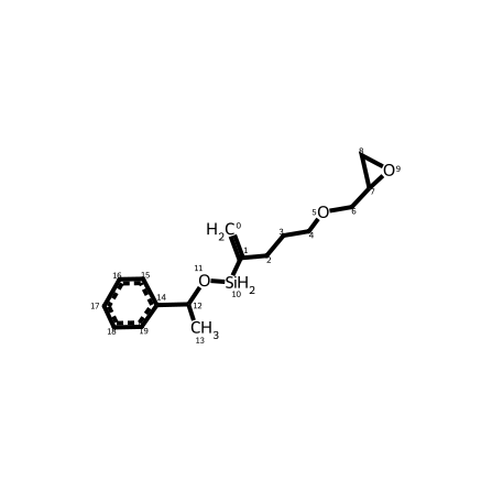 C=C(CCCOCC1CO1)[SiH2]OC(C)c1ccccc1